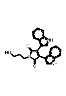 O=C1C(c2c[nH]c3ccccc23)=C(c2c[nH]c3ccccc23)C(=O)N1CCCO